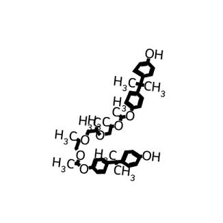 CC(COC(C)COC(C)Oc1ccc(C(C)(C)c2ccc(O)cc2)cc1)OCC(C)OC(C)Oc1ccc(C(C)(C)c2ccc(O)cc2)cc1